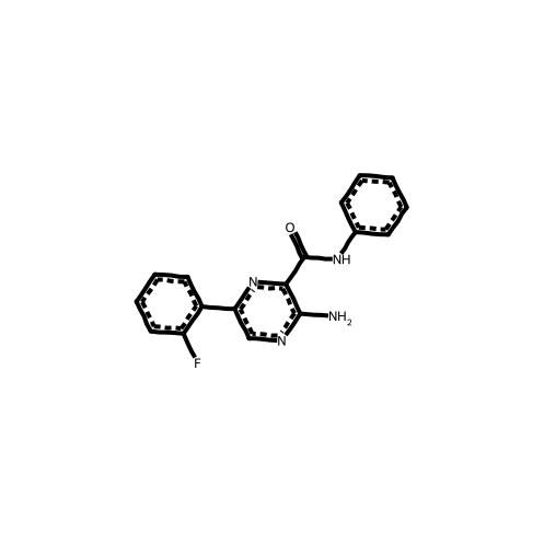 Nc1ncc(-c2ccccc2F)nc1C(=O)Nc1ccccc1